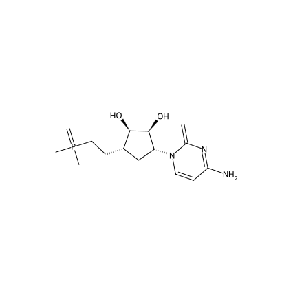 C=C1N=C(N)C=CN1[C@@H]1C[C@H](CCP(=C)(C)C)[C@@H](O)[C@H]1O